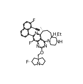 C#Cc1c(F)ccc2cccc(-c3nc4c5c(nc(OC[C@@]67CCCN6C[C@H](F)C7)nc5c3F)N3CCN[C@@H](CC)[C@H]3CC[C@H]4C)c12